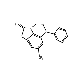 N=c1sc2cc(C(F)(F)F)cc3c2n1CCC3c1ccccc1